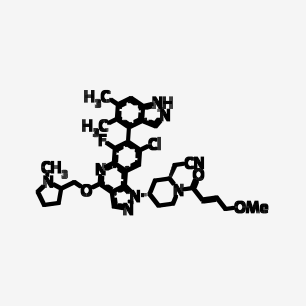 COC/C=C/C(=O)N1CC[C@H](n2ncc3c(OCC4CCCN4C)nc4c(F)c(-c5c(C)c(C)cc6[nH]ncc56)c(Cl)cc4c32)C[C@H]1CC#N